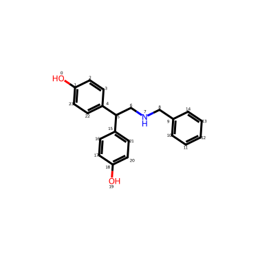 Oc1ccc(C(CNCc2ccccc2)c2ccc(O)cc2)cc1